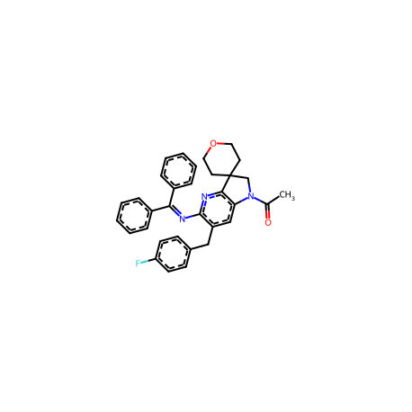 CC(=O)N1CC2(CCOCC2)c2nc(N=C(c3ccccc3)c3ccccc3)c(Cc3ccc(F)cc3)cc21